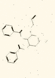 C=CCO[C@H]1O[C@H](CO)[C@H](O)C(OC(=O)c2ccccc2)C1OC(=O)c1ccccc1